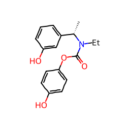 CCN(C(=O)Oc1ccc(O)cc1)[C@@H](C)c1cccc(O)c1